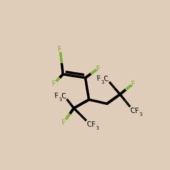 FC(F)=C(F)C(CC(F)(C(F)(F)F)C(F)(F)F)C(F)(C(F)(F)F)C(F)(F)F